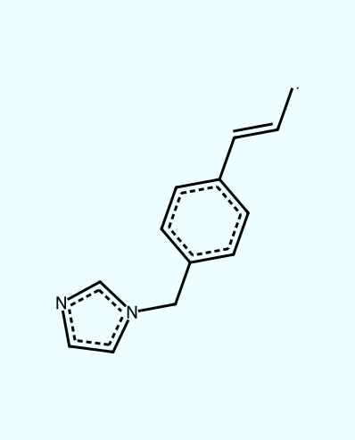 [CH2]C=Cc1ccc(Cn2ccnc2)cc1